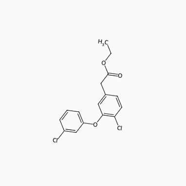 CCOC(=O)Cc1ccc(Cl)c(Oc2cccc(Cl)c2)c1